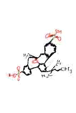 CCC(C)(C)c1cc2c3c(c1)-c1ccc(S(=O)(=O)O)cc1CC(C)(Cc1cc(S(=O)(=O)O)ccc1-2)O3